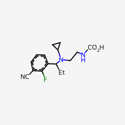 CCC(c1cccc(C#N)c1F)N(CCNC(=O)O)C1CC1